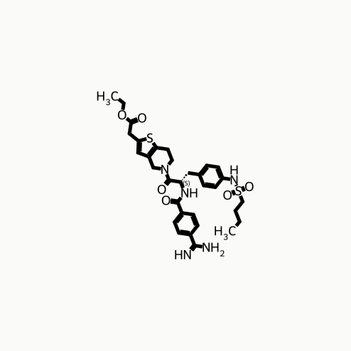 CCCCS(=O)(=O)Nc1ccc(C[C@H](NC(=O)c2ccc(C(=N)N)cc2)C(=O)N2CCc3sc(CC(=O)OCC)cc3C2)cc1